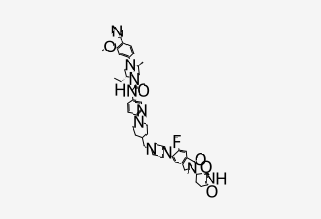 CC[C@@H]1CN(c2ccc(C#N)c(OC)c2)[C@@H](C)CN1C(=O)Nc1ccc(N2CCC(CN3CCN(c4cc5c(cc4F)C(=O)N([C@H]4CCC(=O)NC4=O)C5)CC3)CC2)nc1